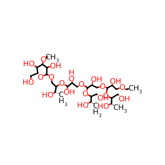 CCOC[C@H](O)C(OC[C@H](O)C(OC[C@H](O)C(O)OC(COC1OC(CO)C(O)C(OC)C1O)[C@H](C)O)OC(CO)[C@H](C)O)OC(CO)[C@H](C)O